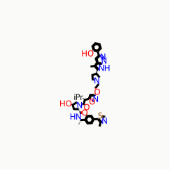 Cc1ncsc1-c1ccc([C@H](C)NC(=O)[C@@H]2C[C@@H](O)CN2C(=O)[C@@H](c2cc(OCCN3CC[C@@H](c4[nH]c5nnc(-c6ccccc6O)cc5c4C)C3)no2)C(C)C)cc1